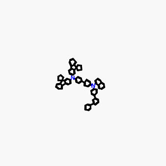 c1ccc(-c2cccc(-c3ccc(N(c4ccc(-c5ccc(N(c6ccc7c(c6)C6(CCCC6)c6ccccc6-7)c6ccc7c(c6)C6(CCCC6)c6ccccc6-7)cc5)cc4)c4cccc5ccccc45)cc3)c2)cc1